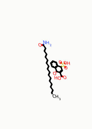 CCCCCCCCCCCCCCCCCC(N)=O.O=C(O)C1=CC(S(=O)(=O)O)c2ccccc2C1=O